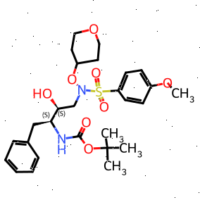 COc1ccc(S(=O)(=O)N(C[C@H](O)[C@H](Cc2ccccc2)NC(=O)OC(C)(C)C)OC2CCOCC2)cc1